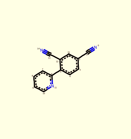 N#Cc1ccc(-c2ccc[c]n2)c(C#N)c1